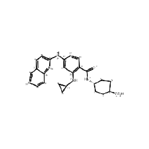 O=C(N[C@H]1CC[C@H](C(=O)O)CC1)c1cnc(Nc2ccc3cnccc3n2)cc1NC1CC1